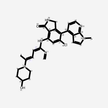 C=N/C(=C\C=C(/C)N1CCC(O)CC1)Nc1cc(Cl)c(-c2ccnc3c2ccn3C)c2c1C(=O)NC2